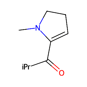 CC(C)C(=O)C1=CCCN1C